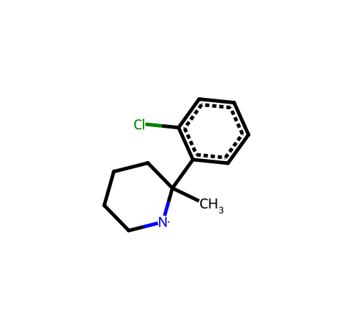 CC1(c2ccccc2Cl)CCCC[N]1